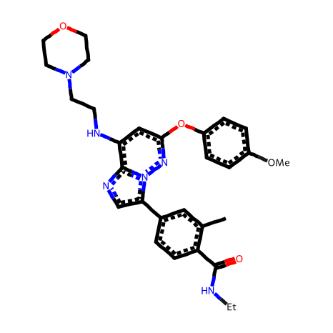 CCNC(=O)c1ccc(-c2cnc3c(NCCN4CCOCC4)cc(Oc4ccc(OC)cc4)nn23)cc1C